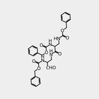 O=CC(CNC(=O)C(CNC(=O)OCc1ccccc1)NC(=O)OCc1ccccc1)NC(=O)OCc1ccccc1